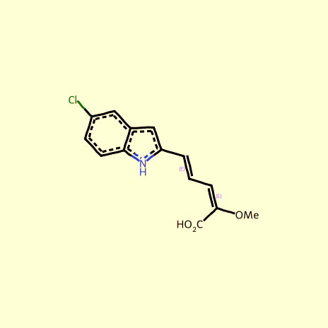 CO/C(=C/C=C/c1cc2cc(Cl)ccc2[nH]1)C(=O)O